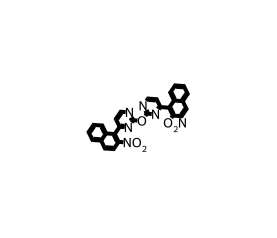 O=[N+]([O-])c1ccc2ccccc2c1-c1ccnc(Oc2nccc(-c3c([N+](=O)[O-])ccc4ccccc34)n2)n1